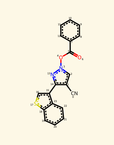 N#Cc1cn(OC(=O)c2ccccc2)nc1-c1csc2ccccc12